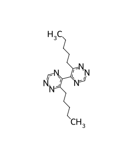 CCCCCc1nncnc1-c1ncnnc1CCCCC